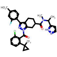 CC(c1ccn[nH]1)N(C)C(=O)C1CCc2c(-c3ccc(C(=O)O)cc3F)nn(C(=O)c3c(Cl)cccc3C3(C(F)(F)F)CC3)c2C1